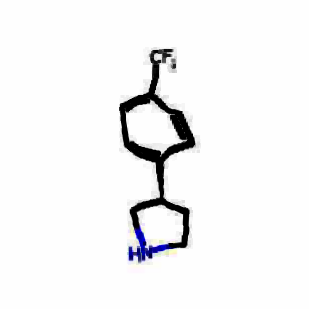 FC(F)(F)c1ccc([C@H]2CCNC2)cc1